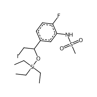 CC[Si](CC)(CC)OC(CI)c1ccc(F)c(NS(C)(=O)=O)c1